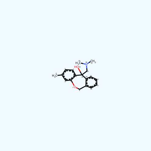 Cc1ccc2c(c1)OCc1ccccc1C2(O)CN(C)C